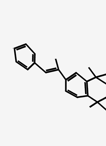 CC(=Cc1cc[c]cc1)c1ccc2c(c1)C(C)(C)CCC2(C)C